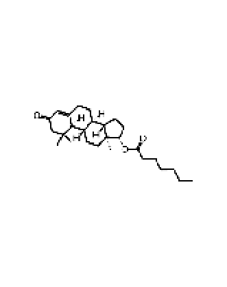 CCCCCCC(=O)O[C@H]1CC[C@H]2[C@@H]3CCC4=CC(=O)CC(C)(C)[C@@H]4[C@H]3CC[C@]12C